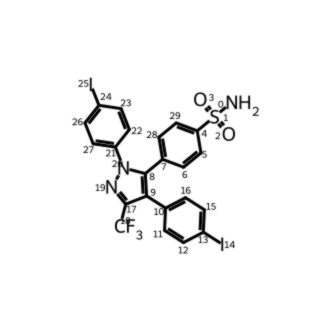 NS(=O)(=O)c1ccc(-c2c(-c3ccc(I)cc3)c(C(F)(F)F)nn2-c2ccc(I)cc2)cc1